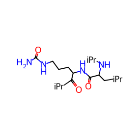 CC(C)CC(NC(C)C)C(=O)NC(CCCNC(N)=O)C(=O)C(C)C